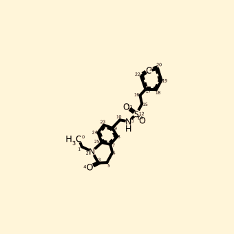 CCN1C(=O)CCc2cc(CNS(=O)(=O)CCc3ccccc3)ccc21